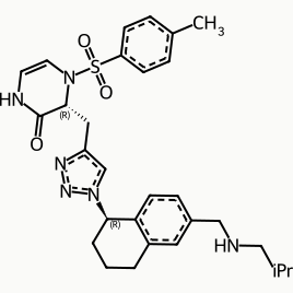 Cc1ccc(S(=O)(=O)N2C=CNC(=O)[C@H]2Cc2cn([C@@H]3CCCc4cc(CNCC(C)C)ccc43)nn2)cc1